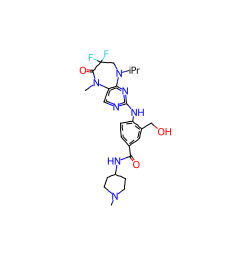 CC(C)N1CC(F)(F)C(=O)N(C)c2cnc(Nc3ccc(C(=O)NC4CCN(C)CC4)cc3CO)nc21